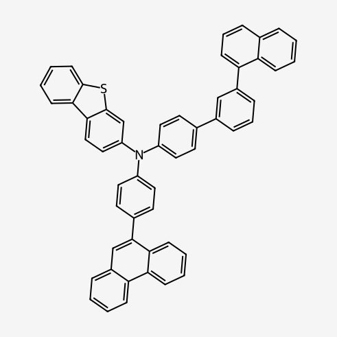 c1cc(-c2ccc(N(c3ccc(-c4cc5ccccc5c5ccccc45)cc3)c3ccc4c(c3)sc3ccccc34)cc2)cc(-c2cccc3ccccc23)c1